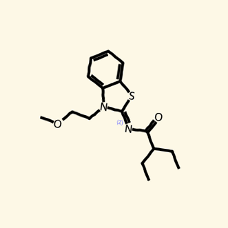 CCC(CC)C(=O)/N=c1\sc2ccccc2n1CCOC